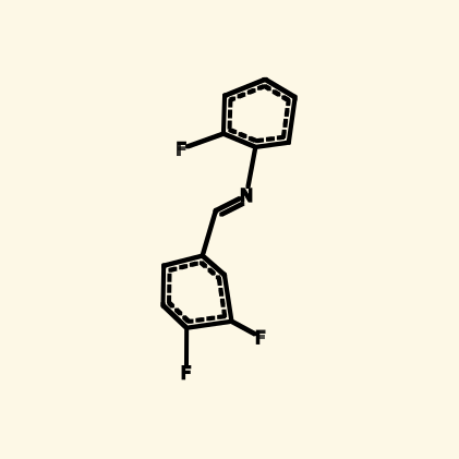 Fc1ccc(/C=N/c2ccccc2F)cc1F